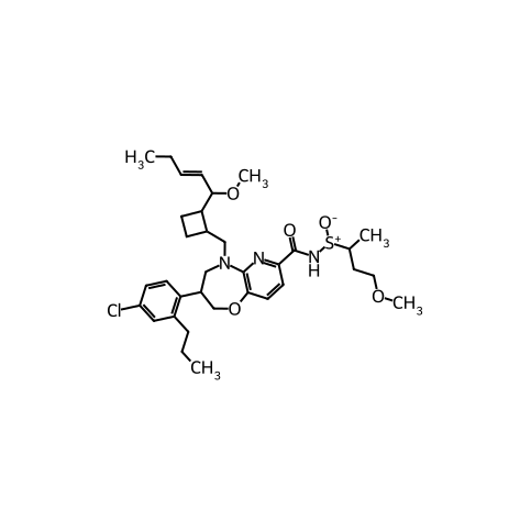 CC/C=C/C(OC)C1CCC1CN1CC(c2ccc(Cl)cc2CCC)COc2ccc(C(=O)N[S+]([O-])C(C)CCOC)nc21